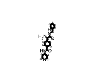 N[C@@H](C(=O)NCc1ccccc1)c1ccc(C(=O)Nc2ccncc2)cc1